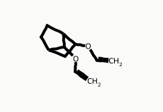 C=COC1CC2CCC1C2OC=C